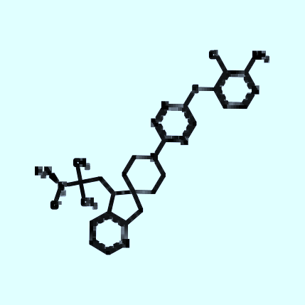 CC(C)(CC1c2cccnc2CC12CCN(c1ncc(Sc3ccnc(N)c3Cl)nn1)CC2)[S@+](N)[O-]